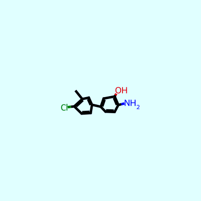 Cc1cc(-c2ccc(N)c(O)c2)ccc1Cl